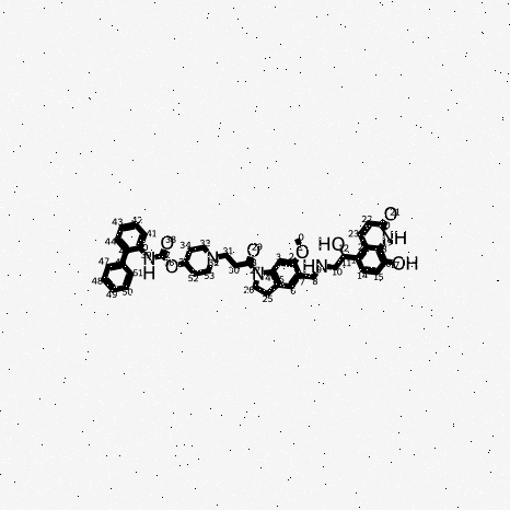 COc1cc2c(cc1CNC[C@H](O)c1ccc(O)c3[nH]c(=O)ccc13)CCN2C(=O)CCN1CCC(OC(=O)Nc2ccccc2-c2ccccc2)CC1